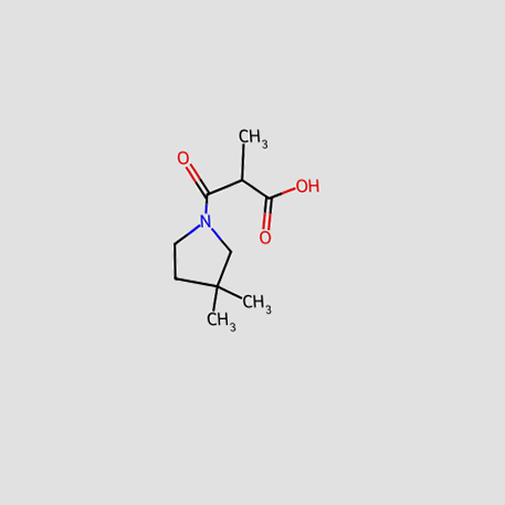 CC(C(=O)O)C(=O)N1CCC(C)(C)C1